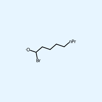 CCCCCCCC([O])Br